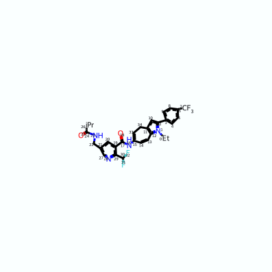 CCn1c(-c2ccc(C(F)(F)F)cc2)cc2c1C=CC(NC(=O)c1cc(CNC(=O)C(C)C)cnc1C(F)F)=CC2